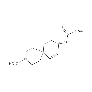 COC(=O)/C=C1/C=CC2(CC1)CCN(C(=O)O)CC2